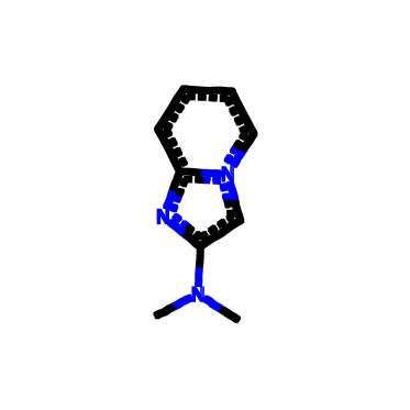 CN(C)c1cn2ccccc2n1